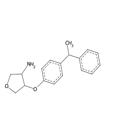 CC(c1ccccc1)c1ccc(OC2COCC2N)cc1